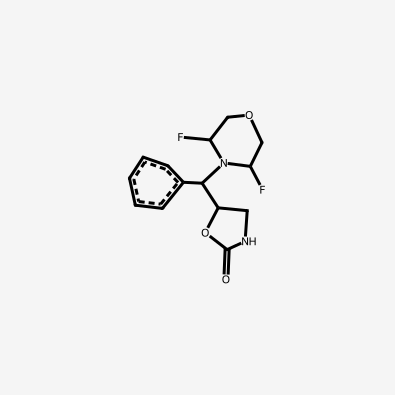 O=C1NCC(C(c2ccccc2)N2C(F)COCC2F)O1